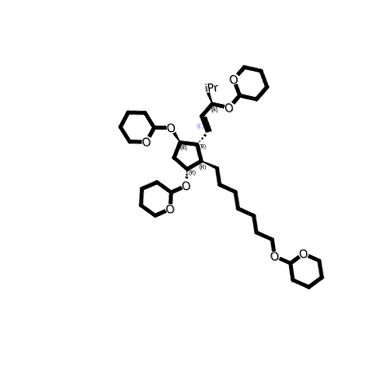 CC(C)[C@H](/C=C/[C@@H]1[C@@H](CCCCCCCOC2CCCCO2)[C@H](OC2CCCCO2)C[C@H]1OC1CCCCO1)OC1CCCCO1